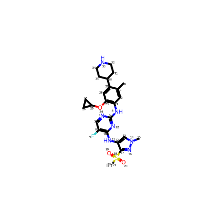 Cc1cc(Nc2ncc(F)c(Nc3cn(C)nc3S(=O)(=O)C(C)C)n2)c(OC2CC2)cc1C1CCNCC1